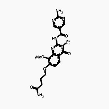 CCn1c(NC(=O)c2cnc(N)nc2)nc2c(OC)c(OCCCC(N)=O)ccc2c1=O